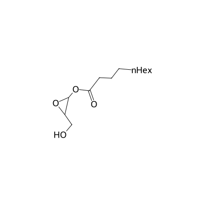 CCCCCCCCCC(=O)OC1OC1CO